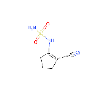 N#CC1=C(NS(N)(=O)=O)CCC1